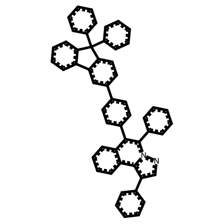 c1ccc(-c2cnn3c(-c4ccccc4)c(-c4ccc(-c5ccc6c(c5)-c5ccccc5C6(c5ccccc5)c5ccccc5)cc4)c4ccccc4c23)cc1